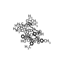 CC[C@H](C)[C@@H]([C@@H](CC(=O)N1CCC[C@H]1[C@H](OC)[C@@H](C)C(=O)N[C@H](C)[C@@H](O)c1ccccc1)OC)N(C)C(=O)CNC(=O)[C@H](C(C)C)N(C)C(=O)CCN(CCCS(=O)(=O)O)C(=O)c1ccc(C(=O)C(CS(=O)(=O)c2ccc(C)cc2)CS(=O)(=O)c2ccc(C)cc2)cc1